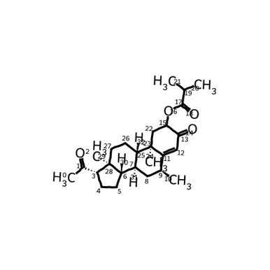 CC(=O)[C@H]1CC[C@H]2[C@@H]3C[C@H](C)C4=CC(=O)C(OC(=O)C(C)C)C[C@]4(C)[C@H]3CC[C@]12C